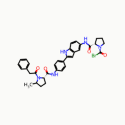 CC1CC[C@@H](C(=O)Nc2ccc(-c3cc4cc(NC(=O)[C@@H]5CCCN5C(=O)Br)ccc4[nH]3)cc2)N1C(=O)Cc1ccccc1